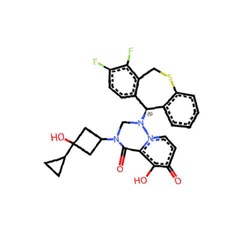 O=C1c2c(O)c(=O)ccn2N([C@@H]2c3ccccc3SCc3c2ccc(F)c3F)CN1C1CC(O)(C2CC2)C1